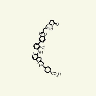 O=C1CC[C@@H](CNCc2nc3cc(-c4cccc(Nc5nccc6sc(CNC7CCC(C(=O)O)CC7)nc56)c4Cl)ccc3o2)N1